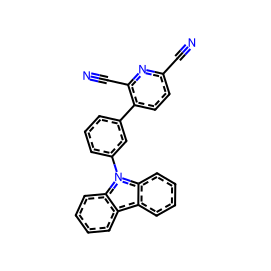 N#Cc1ccc(-c2cccc(-n3c4ccccc4c4ccccc43)c2)c(C#N)n1